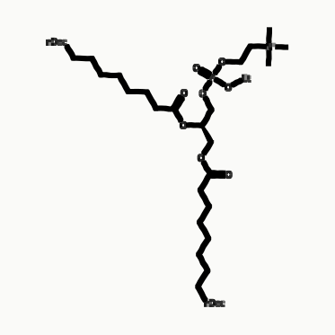 CCCCCCCCCCCCCCCCCC(=O)OC[C@H](COP(=O)(OCC)OCC[N+](C)(C)C)OC(=O)CCCCCCCCCCCCCCCCC